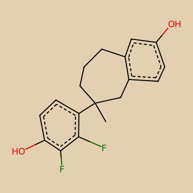 CC1(c2ccc(O)c(F)c2F)CCCc2cc(O)ccc2C1